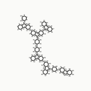 c1ccc(-n2c3ccccc3c3cc(-c4ccc5c(c4)c4cc(-n6c7ccccc7c7ccccc76)ccc4n5-c4ccc(-c5ccc(-n6c7ccccc7c7cc(-c8ccc9c(c8)c8ccccc8n9-c8ccc(-c9ccc%10c(c9)oc9ccccc9%10)cc8)ccc76)cc5)cc4)ccc32)cc1